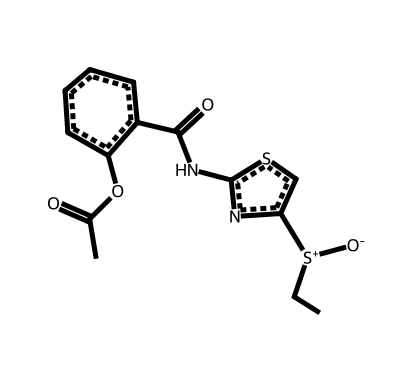 CC[S+]([O-])c1csc(NC(=O)c2ccccc2OC(C)=O)n1